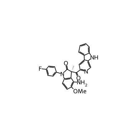 COc1ccc2c(c1N)[C@](C)(C(=O)c1cc3c(cn1)[nH]c1ccccc13)C(=O)N2c1ccc(F)cc1